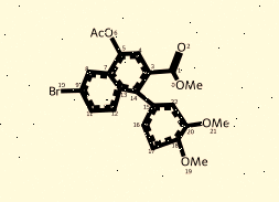 COC(=O)c1cc(OC(C)=O)c2cc(Br)ccc2c1-c1ccc(OC)c(OC)c1